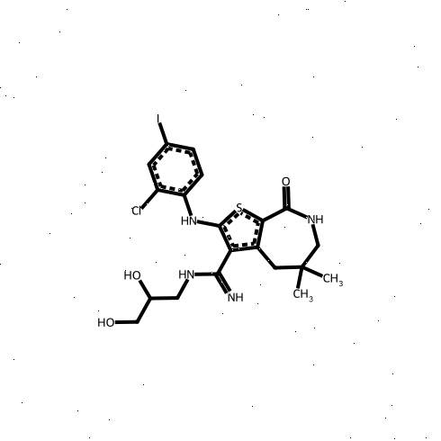 CC1(C)CNC(=O)c2sc(Nc3ccc(I)cc3Cl)c(C(=N)NCC(O)CO)c2C1